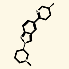 C[C@H]1CCC(c2ccc3nn([C@@H]4CCCN(C)C4)cc3c2)=NC1